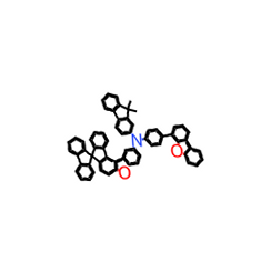 CC1(C)c2ccccc2-c2ccc(N(c3ccc(-c4cccc5c4oc4ccccc45)cc3)c3ccc4oc5ccc6c(c5c4c3)-c3ccccc3C63c4ccccc4-c4ccccc43)cc21